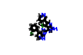 Cc1ccncc1-c1cnc2[nH]nc(-c3nc4c(-c5ccccc5F)ccnc4[nH]3)c2c1F